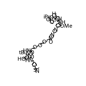 COc1cc(N2CCC(N3CCN(C(=O)CCOCCOCCOCCC(=O)NC(C(=O)N4C[C@H](O)C[C@H]4C(=O)NCc4ccc(-c5scnc5C)cc4)C(C)(C)C)CC3)CC2)ccc1Nc1ncc(Cl)c(Nc2ccccc2S(=O)(=O)C(C)C)n1